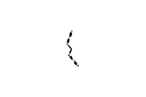 [N-]=[N+]=NCN=C=O